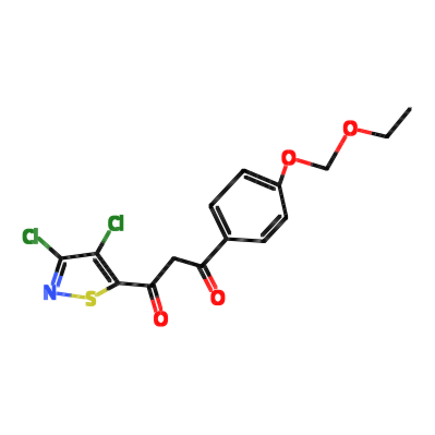 CCOCOc1ccc(C(=O)CC(=O)c2snc(Cl)c2Cl)cc1